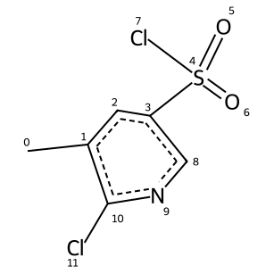 Cc1cc(S(=O)(=O)Cl)cnc1Cl